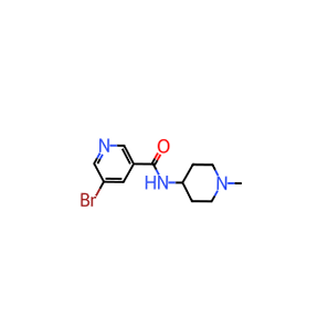 CN1CCC(NC(=O)c2cncc(Br)c2)CC1